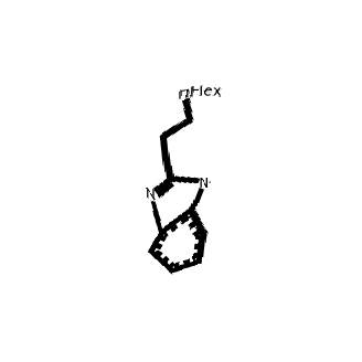 CCCCCCCCC1=Nc2ccccc2[N]1